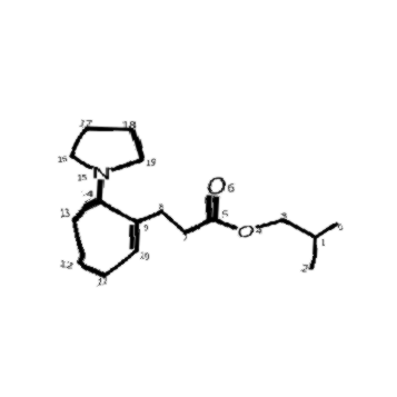 CC(C)COC(=O)CCC1=CCCCC1N1CCCC1